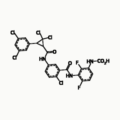 O=C(O)Nc1ccc(F)c(NC(=O)c2cc(NC(=O)C3C(c4cc(Cl)cc(Cl)c4)C3(Cl)Cl)ccc2Cl)c1F